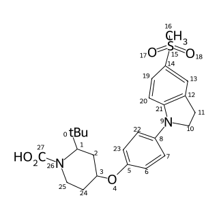 CC(C)(C)C1CC(Oc2ccc(N3CCc4cc(S(C)(=O)=O)ccc43)cc2)CCN1C(=O)O